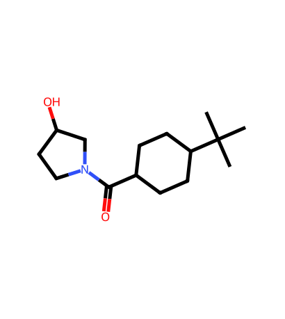 CC(C)(C)C1CCC(C(=O)N2CCC(O)C2)CC1